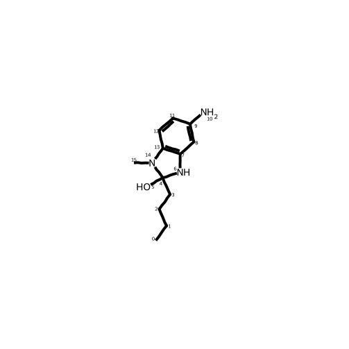 CCCCC1(O)Nc2cc(N)ccc2N1C